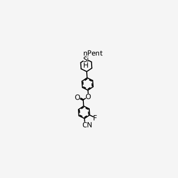 CCCCC[SiH]1CCC(c2ccc(OC(=O)c3ccc(C#N)c(F)c3)cc2)CC1